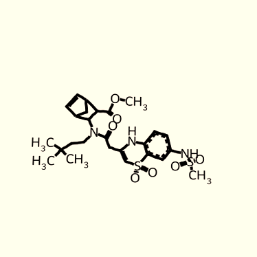 COC(=O)C1C2C=CC(C2)C1N(CCC(C)(C)C)C(=O)CC1=CS(=O)(=O)c2cc(NS(C)(=O)=O)ccc2N1